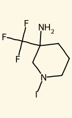 NC1(C(F)(F)F)CCCN(I)C1